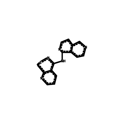 c1cnc2ccnc(Nc3nccc4cnccc34)c2c1